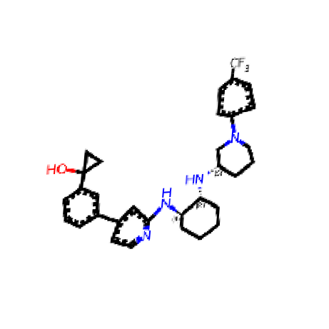 OC1(c2cccc(-c3ccnc(N[C@@H]4CCCC[C@H]4N[C@H]4CCCN(c5ccc(C(F)(F)F)cc5)C4)c3)c2)CC1